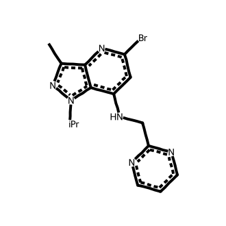 Cc1nn(C(C)C)c2c(NCc3ncccn3)cc(Br)nc12